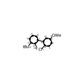 COc1ccc(Cl)c(-c2cccc(C(C)(C)C)c2F)c1